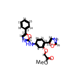 COC(=O)COc1cc(Nc2ncc(-c3ccccc3)o2)ccc1-c1cnco1